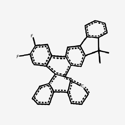 CC1(C)c2ccccc2-c2cc3c4cc(F)c(F)cc4c4c5ccccc5c5ccccc5c4c3cc21